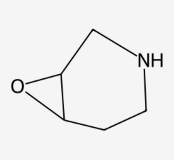 C1CC2OC2CN1